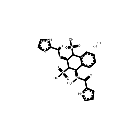 C[N+](C(=O)c1ccc[nH]1)=C1c2ccccc2C(S(=O)(=O)O)C(=NC(=O)c2ncc[nH]2)C1S(=O)(=O)O.[KH].[KH]